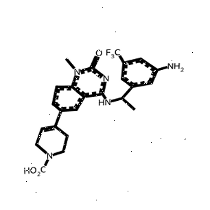 CC(Nc1nc(=O)n(C)c2ccc(C3=CCN(C(=O)O)CC3)cc12)c1cc(N)cc(C(F)(F)F)c1